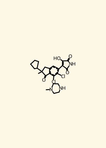 CC1(C2CCCC2)Cc2cc(C3=C(O)C(=O)NC3=O)c(Cl)c(Cl)c2C1=O.CN1CCNCC1